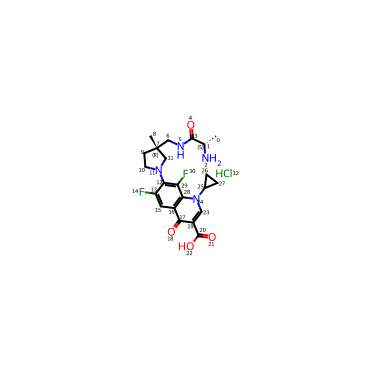 C[C@H](N)C(=O)NC[C@@]1(C)CCN(c2c(F)cc3c(=O)c(C(=O)O)cn(C4CC4)c3c2F)C1.Cl